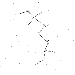 CCC(C)(C)NCSC(C)(C)CC